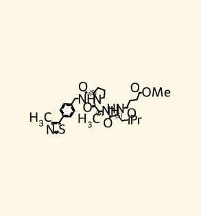 COC(=O)CCC(=O)N[C@@H](CC(C)C)C(=O)N[C@@H](C)C(=O)N1CCC[C@H]1C(=O)NCc1ccc(-c2scnc2C)cc1